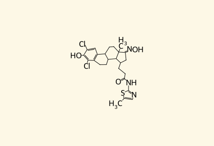 Cc1cnc(NC(=O)CCC2C/C(=N\O)C3(C)CCC4c5cc(Cl)c(O)c(Cl)c5CCC4C23)s1